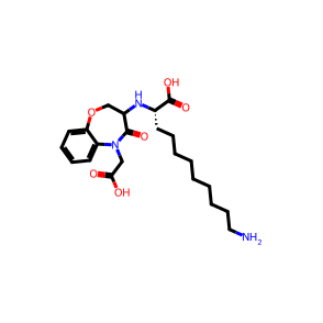 NCCCCCCCCC[C@H](NC1COc2ccccc2N(CC(=O)O)C1=O)C(=O)O